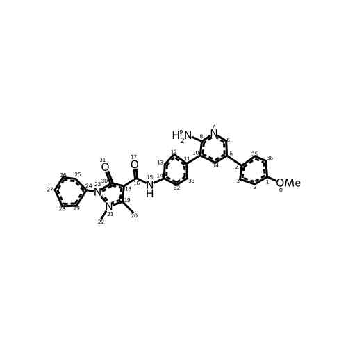 COc1ccc(-c2cnc(N)c(-c3ccc(NC(=O)c4c(C)n(C)n(-c5ccccc5)c4=O)cc3)c2)cc1